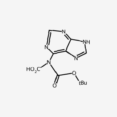 CC(C)(C)OC(=O)N(C(=O)O)c1ncnc2[nH]cnc12